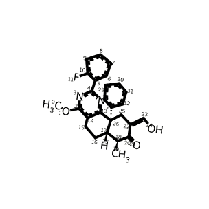 COc1nc(-c2ccccc2F)nc2c1CC[C@H]1[C@H](C)C(=O)/C(=C\O)C[C@]21c1ccccc1